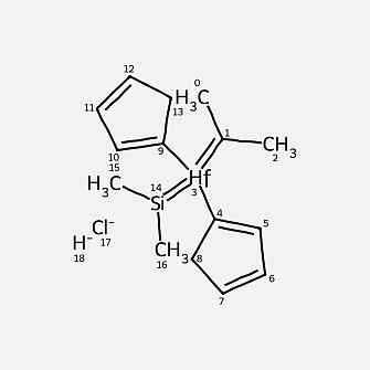 C[C](C)=[Hf]([C]1=CC=CC1)([C]1=CC=CC1)=[Si](C)C.[Cl-].[H-]